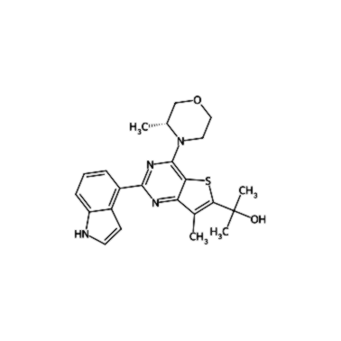 Cc1c(C(C)(C)O)sc2c(N3CCOC[C@H]3C)nc(-c3cccc4[nH]ccc34)nc12